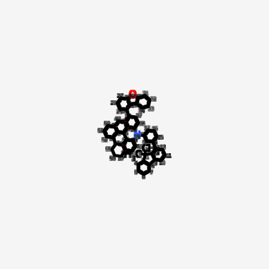 CC1(C)c2ccccc2-c2cccc(-c3cccc(N(c4ccc(-c5cccc6oc7ccccc7c56)cc4)c4ccccc4-c4cccc5cccc(C6CCCCC6)c45)c3)c21